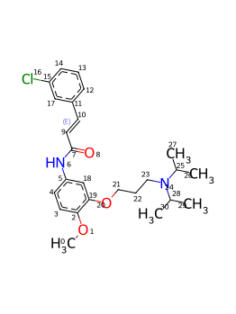 COc1ccc(NC(=O)/C=C/c2cccc(Cl)c2)cc1OCCCN(C(C)C)C(C)C